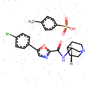 Cc1ccc(S(=O)(=O)O)cc1.O=C(N[C@H]1CN2CCC1CC2)c1ncc(-c2ccc(Br)cc2)o1